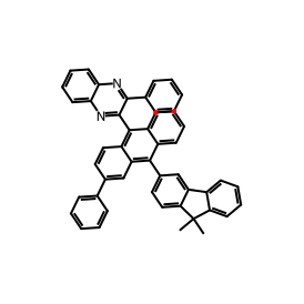 CC1(C)c2ccccc2-c2cc(-c3c4ccccc4c(-c4nc5ccccc5nc4-c4ccccc4)c4ccc(-c5ccccc5)cc34)ccc21